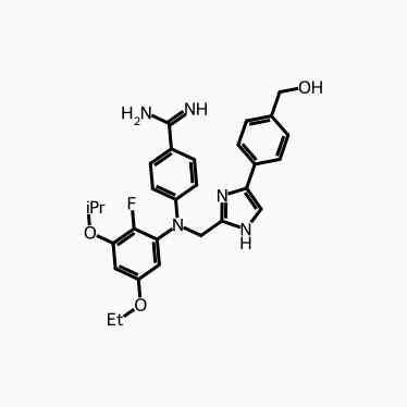 CCOc1cc(OC(C)C)c(F)c(N(Cc2nc(-c3ccc(CO)cc3)c[nH]2)c2ccc(C(=N)N)cc2)c1